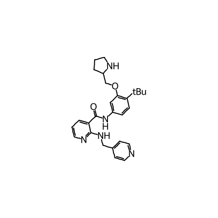 CC(C)(C)c1ccc(NC(=O)c2cccnc2NCc2ccncc2)cc1OCC1CCCN1